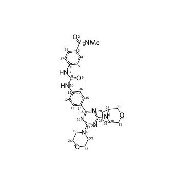 CNC(=O)c1ccc(NC(=O)Nc2ccc(-c3nc(N4CCOCC4)nc(N4C5CCC4COC5)n3)cc2)cc1